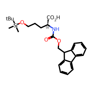 CC(C)(C)[Si](C)(C)OCCC[C@H](NC(=O)OCC1c2ccccc2-c2ccccc21)C(=O)O